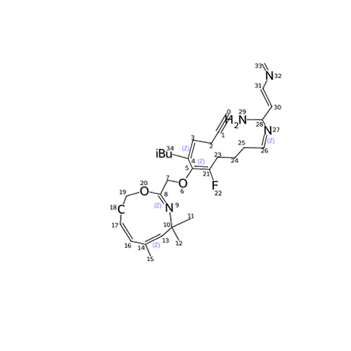 C#CC/C=C(\C(OC/C1=N/C(C)(C)/C=C(/C)C=CCCO1)=C(\F)CCC/C=N\C(N)C=CN=C)C(C)CC